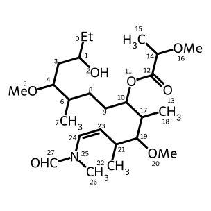 CCC(O)CC(OC)C(C)CCC(OC(=O)C(C)OC)C(C)C(OC)C(C)C=CN(C)C=O